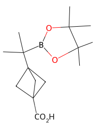 CC1(C)OB(C(C)(C)C23CC(C(=O)O)(C2)C3)OC1(C)C